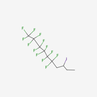 CCC(I)CC(F)(F)C(F)(F)C(F)(F)C(F)(F)C(F)(F)C(F)(F)F